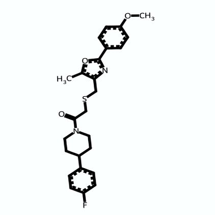 COc1ccc(-c2nc(CSCC(=O)N3CCC(c4ccc(F)cc4)CC3)c(C)o2)cc1